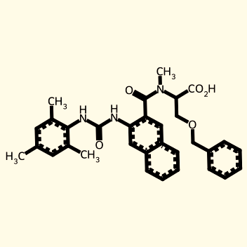 Cc1cc(C)c(NC(=O)Nc2cc3ccccc3cc2C(=O)N(C)C(COCc2ccccc2)C(=O)O)c(C)c1